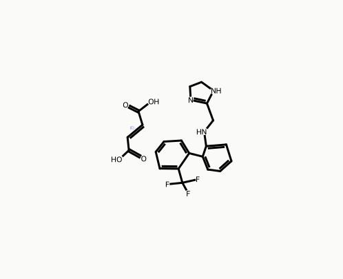 FC(F)(F)c1ccccc1-c1ccccc1NCC1=NCCN1.O=C(O)/C=C/C(=O)O